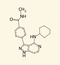 CNC(=O)c1ccc(-c2n[nH]c3ccnc(NC4CCCCC4)c23)cc1